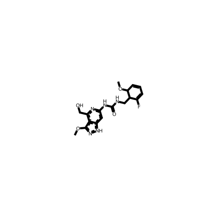 COc1n[nH]c2cc(NC(=O)NCC3C(F)=CC=CC3OC)nc(CO)c12